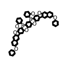 c1ccc(Oc2ccc3cc4oc5c6c7c(cc5c4cc3c2)Oc2cc3c(cc2B7c2ccccc2O6)B2c4ccccc4Oc4c2c(cc2c4oc4cc5ccc(Oc6ccccc6)cc5cc42)O3)cc1